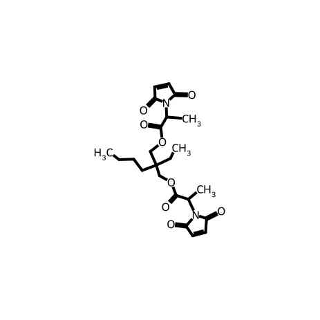 CCCCC(CC)(COC(=O)C(C)N1C(=O)C=CC1=O)COC(=O)C(C)N1C(=O)C=CC1=O